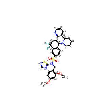 COc1ccc(CN(c2ncns2)S(=O)(=O)c2ccc3c(c2)C(F)(F)CCC3N2CCCCC2c2cccnc2)c(OC)c1